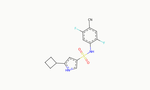 N#Cc1cc(F)c(NS(=O)(=O)c2c[nH]c(C3CCC3)c2)cc1F